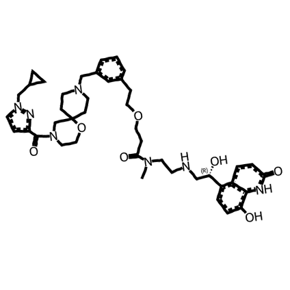 CN(CCNC[C@H](O)c1ccc(O)c2[nH]c(=O)ccc12)C(=O)CCOCCc1cccc(CN2CCC3(CC2)CN(C(=O)c2ccn(CC4CC4)n2)CCO3)c1